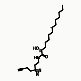 C#CCCC1(CCNC(=O)[C@H](O)CCCCC[CH]CCCCCC)N=N1